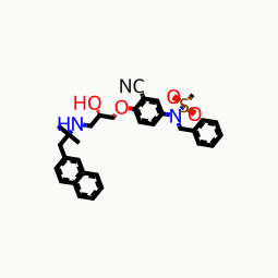 CC(C)(Cc1ccc2ccccc2c1)NC[C@@H](O)COc1ccc(N(Cc2ccccc2)S(C)(=O)=O)cc1C#N